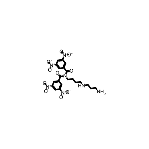 NCCCNCCCCN(C(=O)c1cc([N+](=O)[O-])cc([N+](=O)[O-])c1)C(=O)c1cc([N+](=O)[O-])cc([N+](=O)[O-])c1